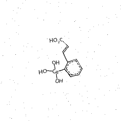 O=C(O)/C=C/c1cccc[c]1[Ge]([OH])([OH])[OH]